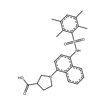 Cc1cc(C)c(C)c(S(=O)(=O)Nc2ccc(N3CCC(C(=O)O)C3)c3ccccc23)c1C